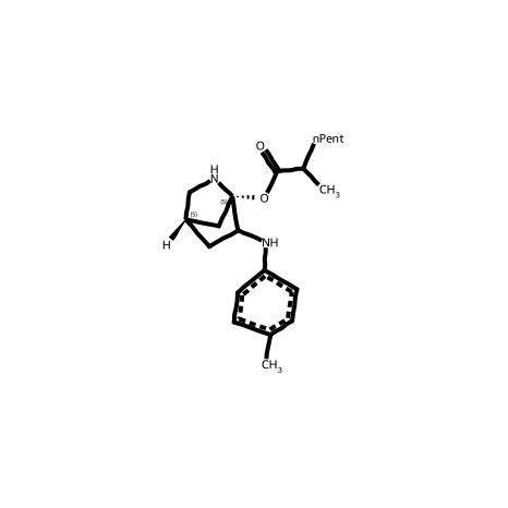 CCCCCC(C)C(=O)O[C@]12C[C@@H](CN1)CC2Nc1ccc(C)cc1